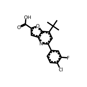 CC(C)(C)c1cc(-c2ccc(Cl)c(F)c2)nc2cc(C(=O)O)oc12